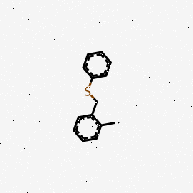 [CH2]c1ccccc1CSc1ccccc1